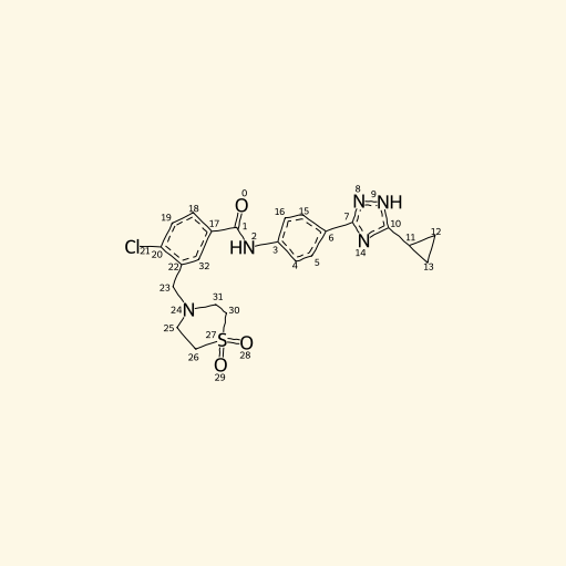 O=C(Nc1ccc(-c2n[nH]c(C3CC3)n2)cc1)c1ccc(Cl)c(CN2CCS(=O)(=O)CC2)c1